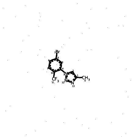 Cc1cn(-c2cc(Br)ccc2C(F)(F)F)nn1